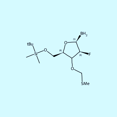 B[C@@H]1O[C@H](CO[Si](C)(C)C(C)(C)C)C(OCSC)[C@@H]1F